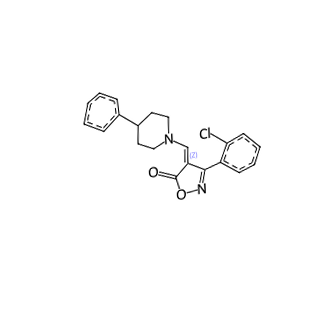 O=C1ON=C(c2ccccc2Cl)/C1=C/N1CCC(c2ccccc2)CC1